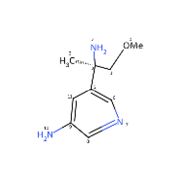 COC[C@](C)(N)c1cncc(N)c1